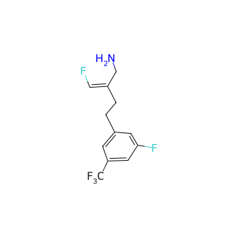 NCC(=CF)CCc1cc(F)cc(C(F)(F)F)c1